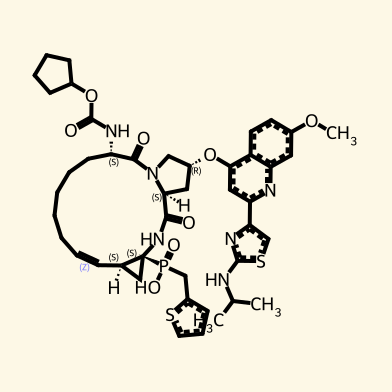 COc1ccc2c(O[C@@H]3C[C@H]4C(=O)N[C@]5(P(=O)(O)Cc6cccs6)C[C@H]5/C=C\CCCCC[C@H](NC(=O)OC5CCCC5)C(=O)N4C3)cc(-c3csc(NC(C)C)n3)nc2c1